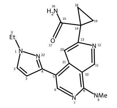 CCn1ccc(-c2cnc(NC)c3cnc(C4(C(N)=O)CC4)cc23)n1